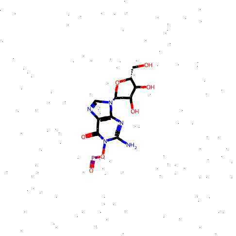 Nc1nc2c(ncn2[C@@H]2O[C@H](CO)C(O)C2O)c(=O)n1OP=O